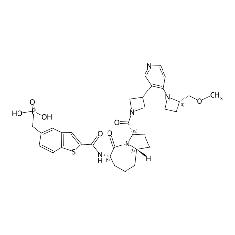 COC[C@@H]1CCN1c1ccncc1C1CN(C(=O)[C@@H]2CC[C@@H]3CCC[C@H](NC(=O)c4cc5cc(CP(=O)(O)O)ccc5s4)C(=O)N32)C1